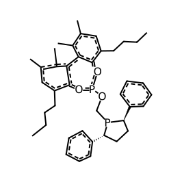 CCCCc1cc(C)c(C)c2c1op(OCP1[C@@H](c3ccccc3)CC[C@@H]1c1ccccc1)oc1c(CCCC)cc(C)c(C)c12